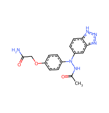 CC(=O)NN(c1ccc(OCC(N)=O)cc1)c1ccc2[nH]nnc2c1